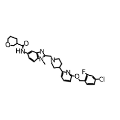 Cn1c(CN2CCC(c3cccc(OCc4ccc(Cl)cc4F)n3)CC2)nc2cc(NC(=O)C3CCCOC3)ccc21